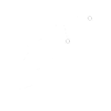 CC(C)c1ccc2c(c1)OC(C=O)C2